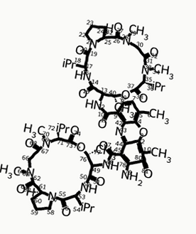 Cc1c2oc3c(C)ccc(C(=O)NC4C(=O)NC(C(C)C)C(=O)N5CCC[C@H]5C(=O)N(C)CC(=O)N(C)[C@@H](C(C)C)C(=O)O[C@@H]4C)c3nc-2c(C(=O)NC2C(=O)NC(C(C)C)C(=O)N3CCC[C@H]3C(=O)N(C)CC(=O)N(C)[C@@H](C(C)C)C(=O)O[C@@H]2C)c(N)c1=O